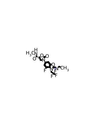 CC/N=c1\oc2cc(N3C[C@H](C(=O)NC)OC3=O)cc(F)c2n1CC(F)(F)F